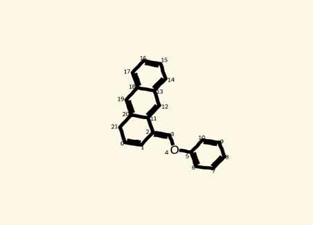 C1=CC(=COc2ccccc2)c2cc3ccccc3cc2C1